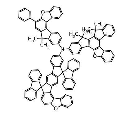 CC1(C)c2cc(N(c3ccc4c(c3)C(C)(C)c3c5c(c6c(oc7ccccc76)c3-4)-c3ccccc3C5(C)C)c3ccc4c(c3)C3(c5ccccc5-c5ccccc53)c3cc5c(cc3-4)C3(c4ccccc4-c4ccccc43)c3ccc4oc6ccccc6c4c3-5)ccc2-c2c1cc(-c1ccccc1)c1oc3ccccc3c21